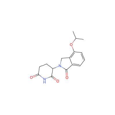 CC(C)Oc1cccc2c1CN(C1CCC(=O)NC1=O)C2=O